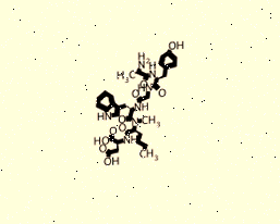 CCCC[C@@H](C(=O)N[C@@H](CC(=O)O)C(=O)O)N(C)C(=O)[C@H](Cc1c[nH]c2ccccc12)NC(=O)CNC(=O)[C@H](Cc1ccc(O)cc1)NC(=O)[C@H](C)N